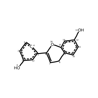 Oc1cccc(C2=CCc3ccc(O)cc3O2)c1